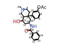 CC(=O)Oc1cccc(C23CCN(C)CC2C(O)C[C@H](NC(=O)c2ccccc2)C3)c1